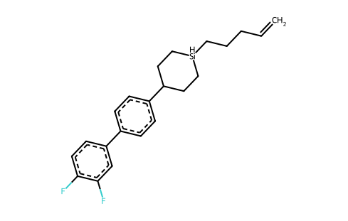 C=CCCC[SiH]1CCC(c2ccc(-c3ccc(F)c(F)c3)cc2)CC1